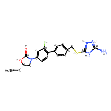 CC(=O)NC[C@H]1CN(c2ccc(-c3ccc(CSc4nnc(N)[nH]4)cc3)c(F)c2)C(=O)O1